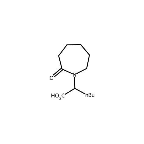 CCCCC(C(=O)O)N1CCCCCC1=O